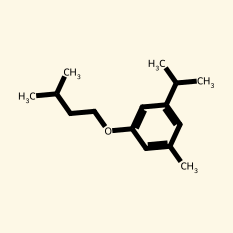 Cc1cc(OCCC(C)C)cc(C(C)C)c1